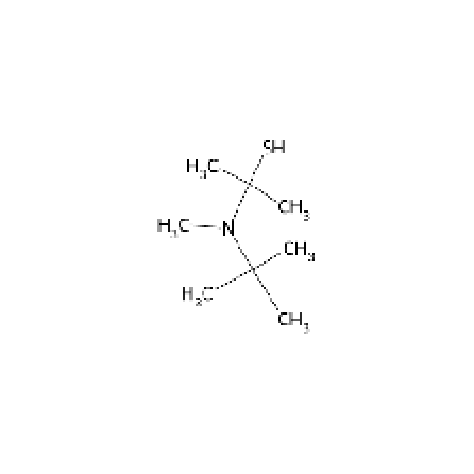 CN(C(C)(C)C)C(C)(C)S